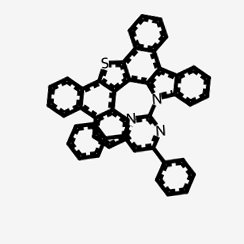 c1ccc(-c2cc(-c3ccccc3)nc(-n3c4ccccc4c4c5ccccc5c5sc6c7ccccc7c7ccccc7c6c5c43)n2)cc1